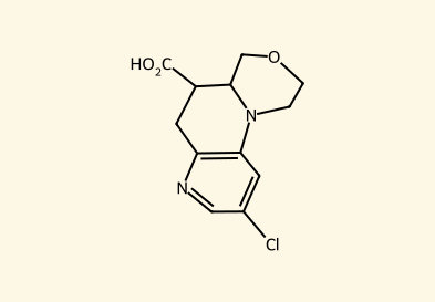 O=C(O)C1Cc2ncc(Cl)cc2N2CCOCC12